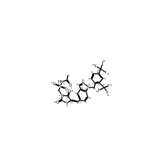 CC(=O)NS(=O)(=O)CN1C(=O)SC(=Cc2ccc3c(cnn3Cc3ccc(C(F)(F)F)cc3C(F)(F)F)c2)C1=O